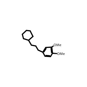 COc1ccc(CCCC2CCCCC2)cc1OC